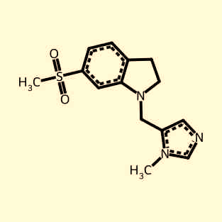 Cn1cncc1CN1CCc2ccc(S(C)(=O)=O)cc21